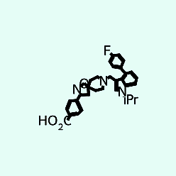 CC(C)n1cc(CN2CCC3(CC2)CC(c2ccc(C(=O)O)cc2)=NO3)c2c(-c3ccc(F)cc3)cccc21